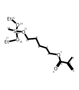 C=C(C)C(=O)OCCCCCO[Si](C)(OCC)OCC